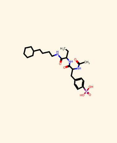 CCC(NC(=O)C(Cc1ccc(P(=O)(O)O)cc1)NC(C)=O)C(=O)NCCCCC1CCCCC1